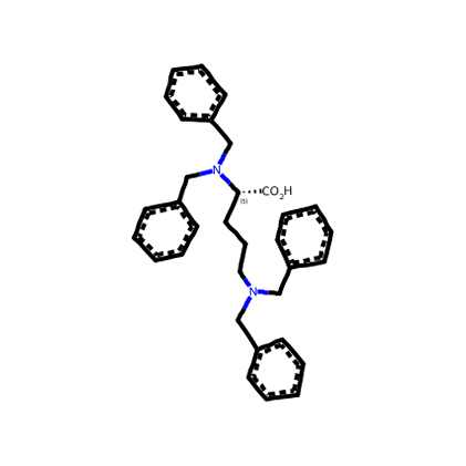 O=C(O)[C@H](CCCN(Cc1ccccc1)Cc1ccccc1)N(Cc1ccccc1)Cc1ccccc1